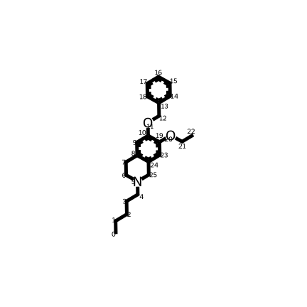 CCCCCN1CCc2cc(OCc3ccccc3)c(OCC)cc2C1